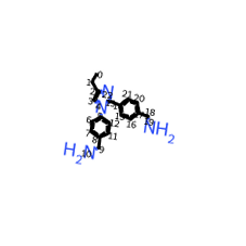 CCc1cn(-c2ccc(CN)cc2)c(-c2ccc(CN)cc2)n1